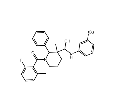 Cc1cccc(F)c1C(=O)N1CCCC(C)(C(O)Nc2cccc(C(C)(C)C)c2)C1c1ccccc1